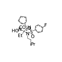 CCC(Cc1ccccc1)(N(O)C(=O)O)N(CCC(C)C)S(=O)(=O)c1ccc(F)cc1